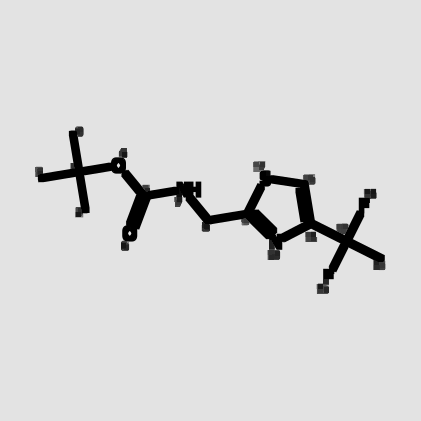 CC(C)(C)OC(=O)NCc1nc(C(C)(F)F)cs1